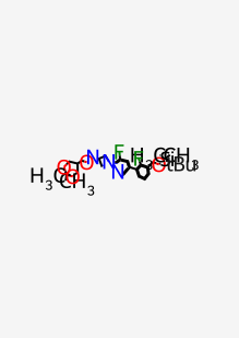 CC1(C)OCC(CON=C2CN(c3ncc(-c4cccc(CO[Si](C)(C)C(C)(C)C)c4F)cc3F)C2)CO1